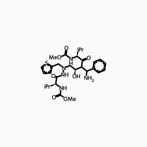 COC(=O)N[C@H](C(=O)NN(Cc1cccs1)C[C@H](O)C(C(=O)[C@@H](NC(=O)OC)C(C)C)C(N)c1ccccc1)C(C)C